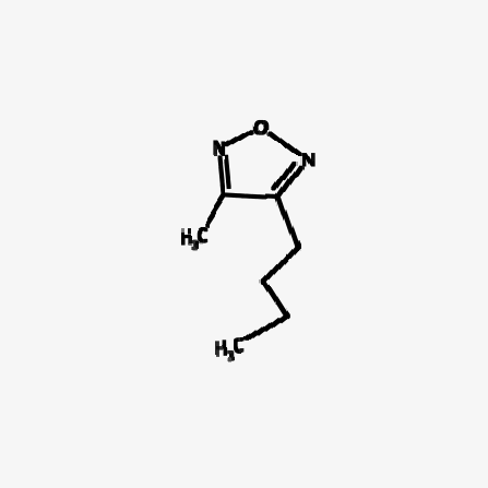 CCCCc1nonc1C